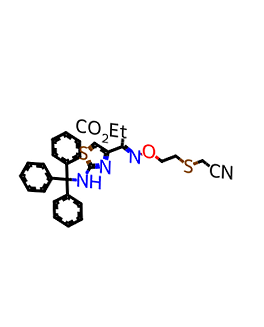 CCOC(=O)C(=NOCCSCC#N)c1csc(NC(c2ccccc2)(c2ccccc2)c2ccccc2)n1